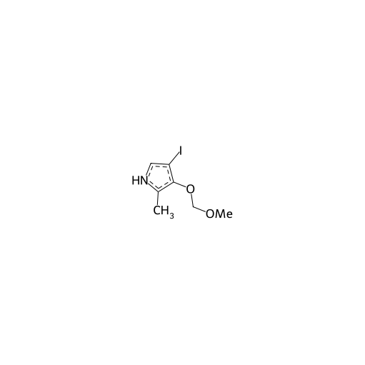 COCOc1c(I)c[nH]c1C